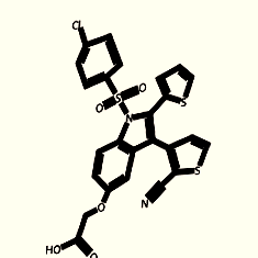 N#Cc1sccc1-c1c(-c2cccs2)n(S(=O)(=O)c2ccc(Cl)cc2)c2ccc(OCC(=O)O)cc12